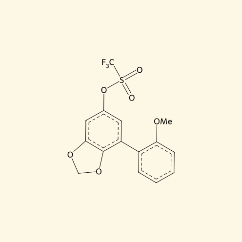 COc1ccccc1-c1cc(OS(=O)(=O)C(F)(F)F)cc2c1OCO2